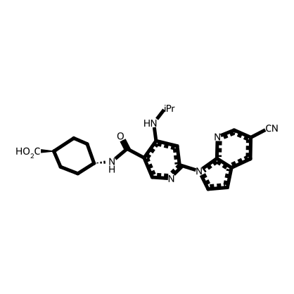 CC(C)Nc1cc(-n2ccc3cc(C#N)cnc32)ncc1C(=O)N[C@H]1CC[C@H](C(=O)O)CC1